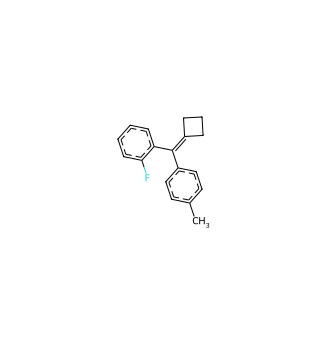 Cc1ccc(C(=C2CCC2)c2ccccc2F)cc1